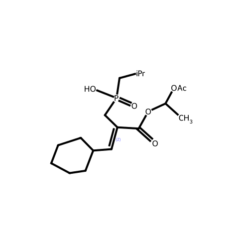 CC(=O)OC(C)OC(=O)/C(=C/C1CCCCC1)CP(=O)(O)CC(C)C